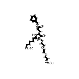 CCCCCCCCCCCCCCCC(=O)N[C@@H](CCC(=O)OCc1ccccc1)C(=O)NOCCOCCOCCOCCCC